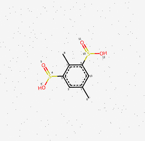 Cc1cc(S(=O)O)c(C)c(S(=O)O)c1